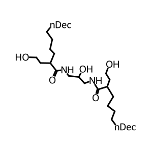 CCCCCCCCCCCCCCC(CCO)C(=O)NCC(O)CNC(=O)C(CCO)CCCCCCCCCCCCCC